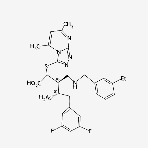 CCc1cccc(CNC[C@H](C(Sc2nnc3nc(C)cc(C)n23)C(=O)O)[C@@H]([AsH2])Cc2cc(F)cc(F)c2)c1